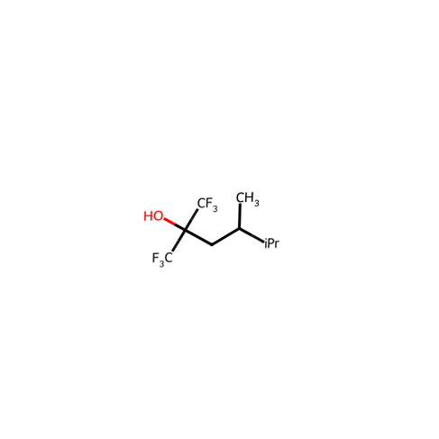 CC(C)C(C)CC(O)(C(F)(F)F)C(F)(F)F